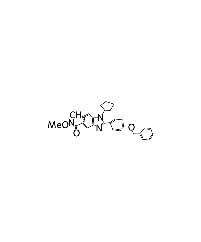 CON(C)C(=O)c1ccc2c(c1)nc(-c1ccc(OCc3ccccc3)cc1)n2C1CCCC1